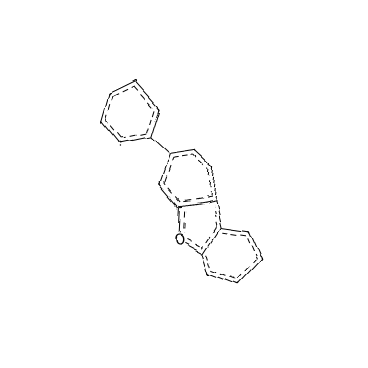 [c]1ccccc1-c1ccc2c(c1)oc1ccccc12